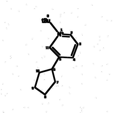 CC(C)(C)[n+]1cccc(C2CCCC2)c1